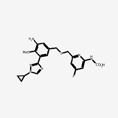 COc1c(N)cc(COCc2cc(F)cc(NC(=O)O)n2)cc1-c1ncn(C2CC2)n1